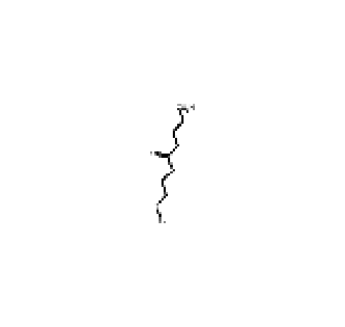 CCOCCOC(=O)CCCC(=O)O